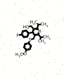 COc1ccc(SCc2c(C(C)C)nc(C(C)C)c(CO)c2-c2ccc(F)cc2)cc1